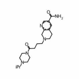 CC(C)N1CCN(C(=O)CCCN2CCc3cc(C(N)=O)cnc3C2)CC1